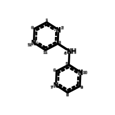 c1cnc(Nc2cnccn2)cn1